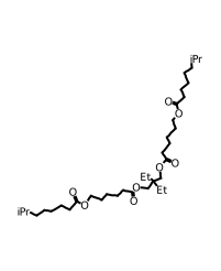 CCC(CC)(COC(=O)CCCCCOC(=O)CCCCCC(C)C)COC(=O)CCCCCOC(=O)CCCCCC(C)C